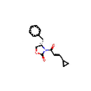 O=C(C=CC1CC1)N1C(=O)OC[C@@H]1Cc1ccccc1